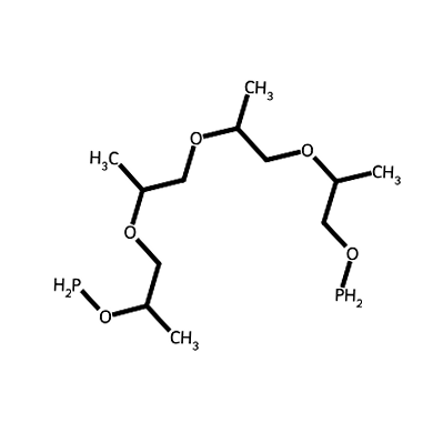 CC(COC(C)COC(C)COC(C)COP)OP